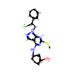 CSc1nc(Nc2cccc(O)c2)c2cnn(CC(Cl)c3ccccc3)c2n1